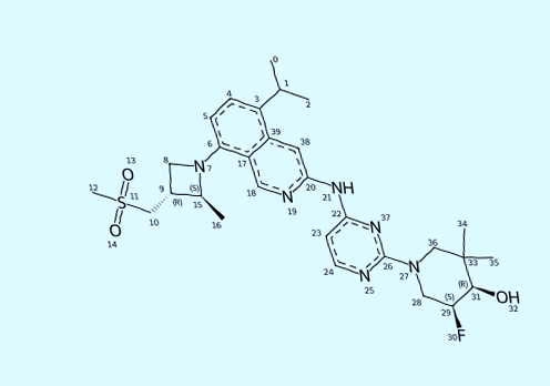 CC(C)c1ccc(N2C[C@@H](CS(C)(=O)=O)[C@@H]2C)c2cnc(Nc3ccnc(N4C[C@H](F)[C@H](O)C(C)(C)C4)n3)cc12